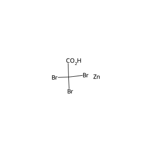 O=C(O)C(Br)(Br)Br.[Zn]